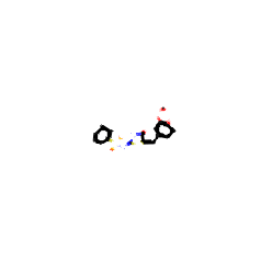 O=C1NC(=NS(=O)(=O)c2ccccc2)SC1=Cc1ccc2c(c1)OCO2